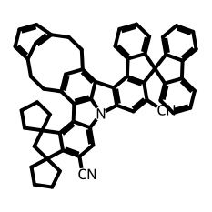 N#Cc1cc2c(c3c1C1(CCCC1)CC31CCCC1)c1c3cc(c4c5c6c(c(C#N)cc5n2c41)C1(c2ccccc2-c2ccccc21)c1ccccc1-6)CCc1cccc(c1)CC3